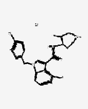 Cl.O=C(NC1CCNCC1F)c1cn(Cc2ccc(Cl)cc2)c2cccc(F)c12